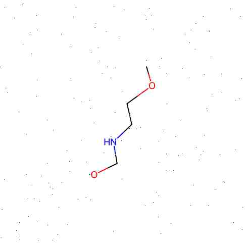 COCCNC[O]